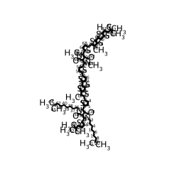 Cc1c(-c2ccc(C3=C4C(=O)N(CCCCCCCC(C)C)C(c5ccc(C(C)(C)C)s5)=C4C(=O)N3CCCCCCCC(C)C)s2)sc2c1sc1c3sc(-c4ccc(C5=C6C(=O)N(C)C(c7ccc(-c8sc9c(sc%10c%11sc(C(C)(C)C)cc%11sc9%10)c8C)s7)=C6C(=O)N5C)s4)cc3sc21